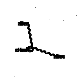 CCCCCCCCCCCCCCCCCCCc1cc[n+](CCCCCC)cc1CCCCCCCCCCCCCCCCCCC